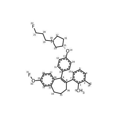 Cc1c(F)cccc1C1=C(c2ccc(O[C@H]3CCN(CCCF)C3)cc2)c2ccc(OF)cc2CCC1